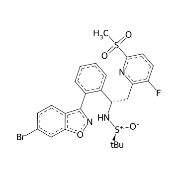 CC(C)(C)[S@+]([O-])N[C@@H](Cc1nc(S(C)(=O)=O)ccc1F)c1ccccc1-c1noc2cc(Br)ccc12